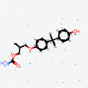 CC(COC(N)=O)COc1ccc(C(C)(C)c2ccc(O)cc2)cc1